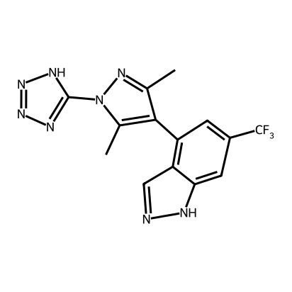 Cc1nn(-c2nnn[nH]2)c(C)c1-c1cc(C(F)(F)F)cc2[nH]ncc12